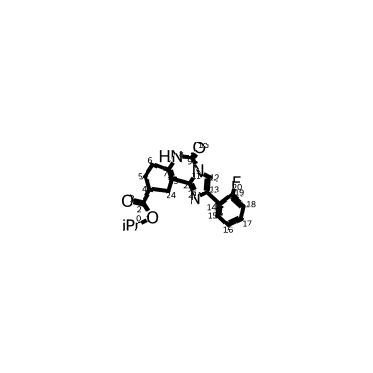 CC(C)OC(=O)C1CCc2[nH]c(=O)n3cc(-c4ccccc4F)nc3c2C1